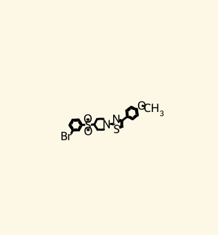 COc1ccc(-c2csc(N3CCC(S(=O)(=O)c4cccc(Br)c4)CC3)n2)cc1